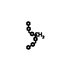 C=C(c1ccc(Cc2ccc(-c3ccccc3)cc2)cc1)c1ccc(Cc2ccc(-c3ccccc3)cc2)cc1